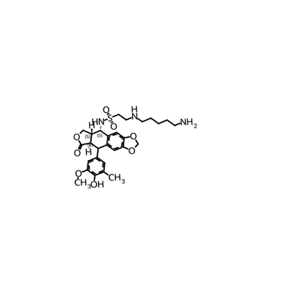 COc1cc(C2c3cc4c(cc3[C@@H](NS(=O)(=O)CCNCCCCCN)[C@H]3COC(=O)[C@H]23)OCO4)cc(C)c1O